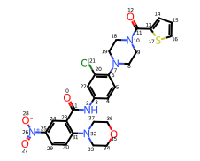 O=C(Nc1ccc(N2CCN(C(=O)c3cccs3)CC2)c(Cl)c1)c1cc([N+](=O)[O-])ccc1N1CCOCC1